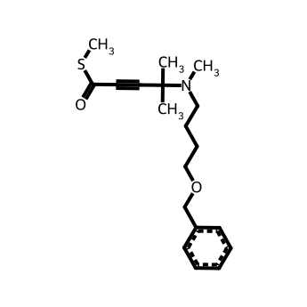 CSC(=O)C#CC(C)(C)N(C)CCCCOCc1ccccc1